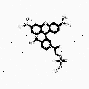 COP(=O)(O)OCC(=O)c1ccc(C(=O)O)c(-c2c3ccc(=[N+](C)C)cc-3oc3cc(N(C)C)ccc23)c1